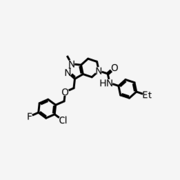 CCc1ccc(NC(=O)N2CCc3c(c(COCc4ccc(F)cc4Cl)nn3C)C2)cc1